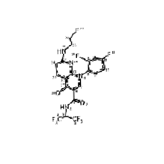 O=C(NC(C(F)(F)F)C(F)(F)F)c1cn(-c2ccc(F)cc2F)c2nc(NCCF)ccc2c1=O